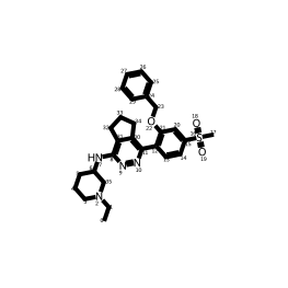 CCN1CCCC(Nc2nnc(-c3ccc(S(C)(=O)=O)cc3OCc3ccccc3)c3c2CCC3)C1